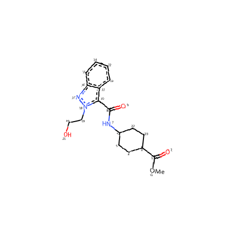 COC(=O)C1CCC(NC(=O)c2c3ccccc3nn2CCO)CC1